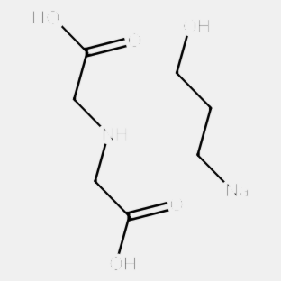 O=C(O)CNCC(=O)O.OCC[CH2][Na]